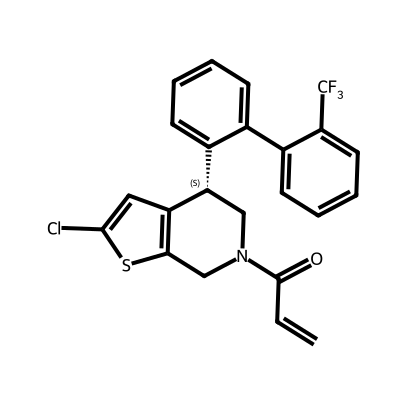 C=CC(=O)N1Cc2sc(Cl)cc2[C@H](c2ccccc2-c2ccccc2C(F)(F)F)C1